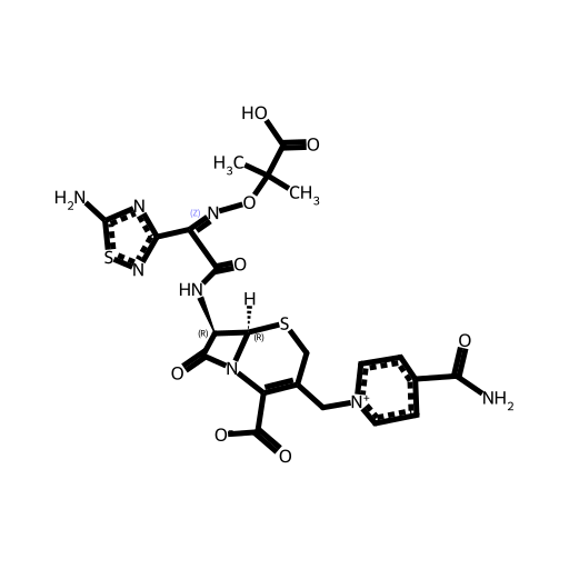 CC(C)(O/N=C(\C(=O)N[C@@H]1C(=O)N2C(C(=O)[O-])=C(C[n+]3ccc(C(N)=O)cc3)CS[C@H]12)c1nsc(N)n1)C(=O)O